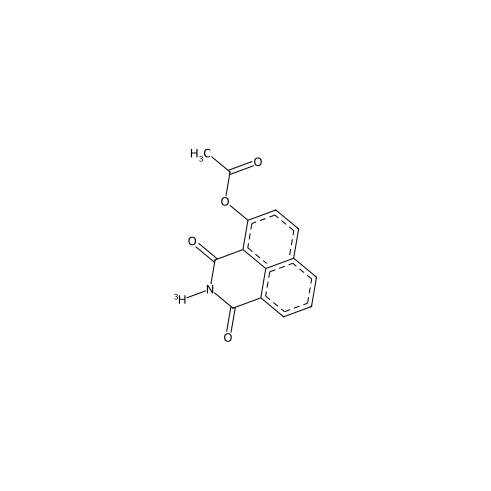 [3H]N1C(=O)c2cccc3ccc(OC(C)=O)c(c23)C1=O